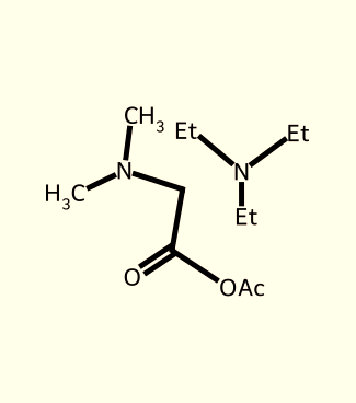 CC(=O)OC(=O)CN(C)C.CCN(CC)CC